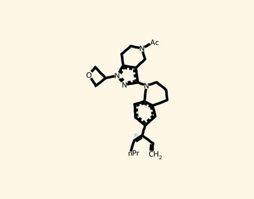 C=C/C(=C\CCC)c1ccc2c(c1)CCCN2c1nn(C2COC2)c2c1CN(C(C)=O)CC2